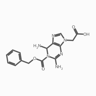 NC1=Nc2c(ncn2CC(=O)O)C(N)N1C(=O)OCc1ccccc1